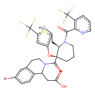 CCC[C@H]1N(C(=O)c2ncccc2C(F)(F)F)CCC[C@]1(Oc1csc(C(F)(F)F)c1)C(=O)N1CCc2cc(Br)ccc2C1CC(=O)O